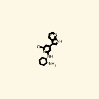 N[C@@H]1CCCC[C@@H]1Nc1cc(-c2c[nH]c3ncccc23)cc(Cl)n1